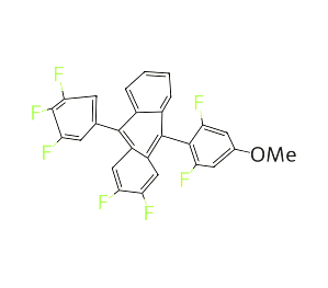 COc1cc(F)c(-c2c3ccccc3c(-c3cc(F)c(F)c(F)c3)c3cc(F)c(F)cc23)c(F)c1